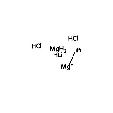 C[CH](C)[Mg+].Cl.Cl.[LiH].[MgH2]